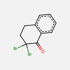 O=C1c2ccccc2CCC1(Br)Br